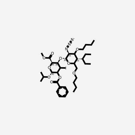 CCCCOCC1O[C@H](O[C@H]2C(I)C(OC(=O)c3ccccc3)[C@H](OC(C)C)O[C@H]2C(=O)OC)[C@@H](N=[N+]=[N-])C(OCCCC)[C@@H]1C(CC)CC